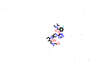 CCC(C(C)C(O)CN(C)CCOC)N1CC2(CCN(c3ncnnc3Oc3ccc(F)cc3C(=O)N(CC)C(C)C)C2)C1